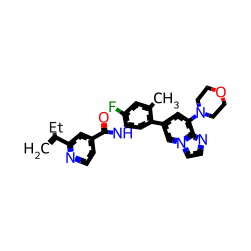 C=C(CC)c1cc(C(=O)Nc2cc(-c3cc(N4CCOCC4)c4nccn4c3)c(C)cc2F)ccn1